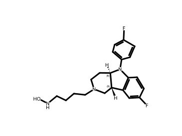 ONCCCCN1CC[C@@H]2[C@@H](C1)c1cc(F)ccc1N2c1ccc(F)cc1